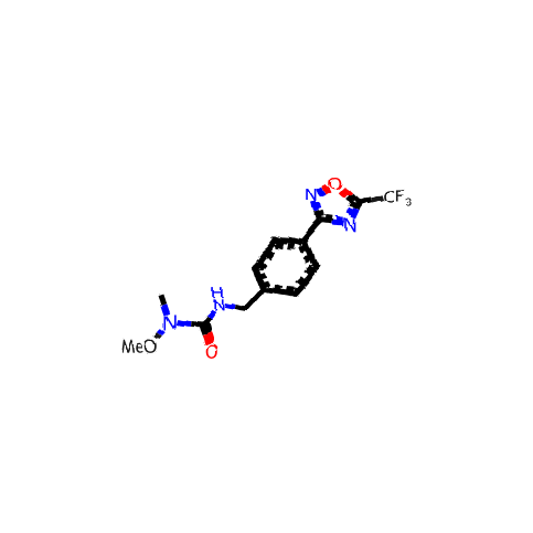 CON(C)C(=O)NCc1ccc(-c2noc(C(F)(F)F)n2)cc1